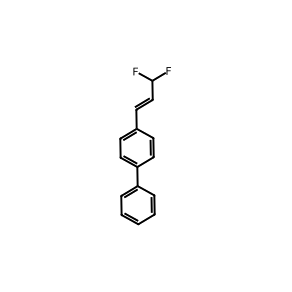 FC(F)C=Cc1ccc(-c2ccccc2)cc1